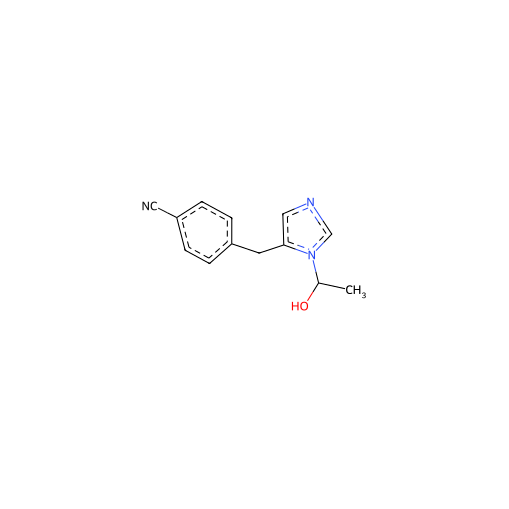 CC(O)n1cncc1Cc1ccc(C#N)cc1